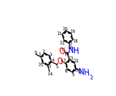 Cc1ccc(COc2ccc(N)cc2C(=O)Nc2ccccc2)c(C)c1